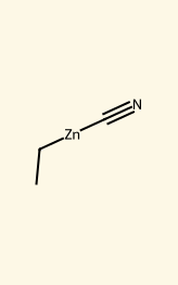 C[CH2][Zn][C]#N